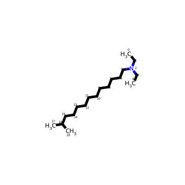 CCN(CC)CCCCCCCCCCCC(C)C